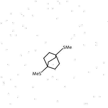 CSC12CCC(SC)(CC1)CC2